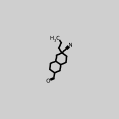 CCCC1(C#N)CCC2CC(C=O)CCC2C1